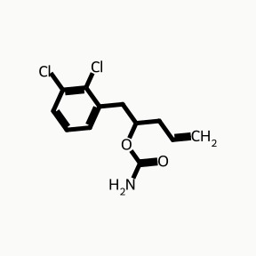 C=CCC(Cc1cccc(Cl)c1Cl)OC(N)=O